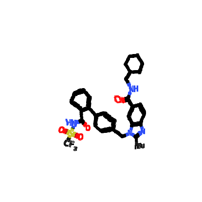 CCCCc1nc2ccc(C(=O)NCC3CCCCC3)cc2n1Cc1ccc(-c2ccccc2C(=O)NS(=O)(=O)C(F)(F)F)cc1